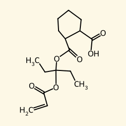 C=CC(=O)OC(CC)(CC)OC(=O)C1CCCCC1C(=O)O